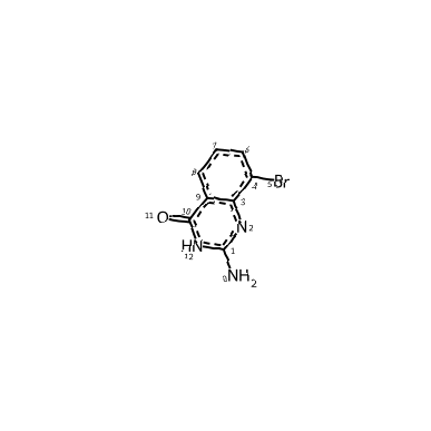 Nc1nc2c(Br)cccc2c(=O)[nH]1